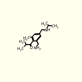 Cc1cc(CNC(C)C)cc(CN)c1C(=O)C(C)C